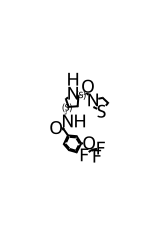 O=C(NC[C@@H]1CN[C@H](C(=O)N2CCSC2)C1)c1cccc(OC(F)(F)F)c1